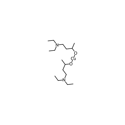 CCN(CC)CCC(C)[O][Cu][O]C(C)CCN(CC)CC